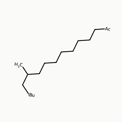 CCC(C)CC(C)CCCCCCCCC(C)=O